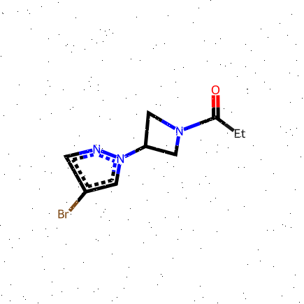 CCC(=O)N1CC(n2cc(Br)cn2)C1